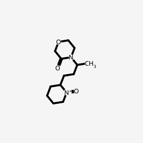 CC(CCC1CCCC[N+]1=O)N1CCOCC1=O